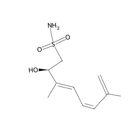 C=C(C)/C=C\C=C(/C)[C@@H](O)CS(N)(=O)=O